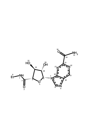 CCNC(=O)[C@H]1O[C@@H](n2cnc3cnc(C(N)=O)nc32)[C@@H](O)[C@@H]1O